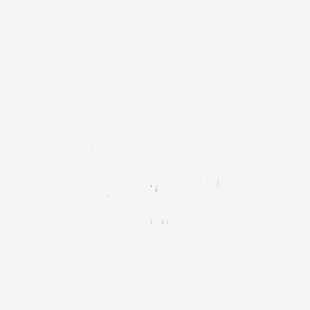 CC(C)(C)N1C(O)c2cccc(Cl)c2S1(=O)=O